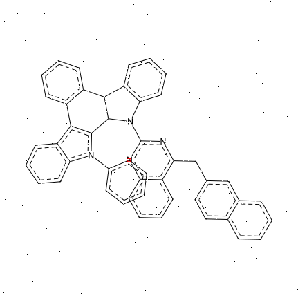 c1ccc(-n2c3c(c4ccccc42)-c2ccccc2C2c4ccccc4N(c4nc(Cc5ccc6ccccc6c5)c5ccccc5n4)C32)cc1